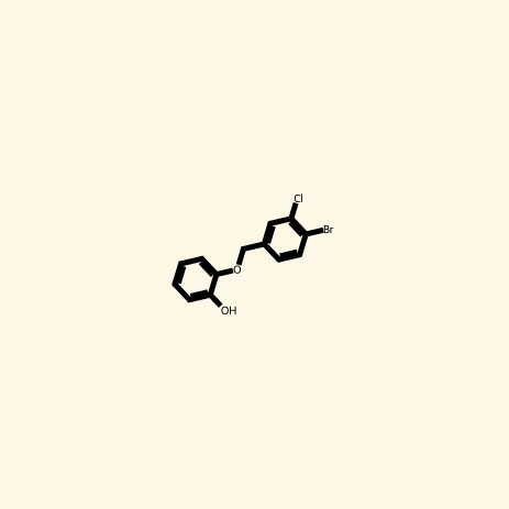 Oc1ccccc1OCc1ccc(Br)c(Cl)c1